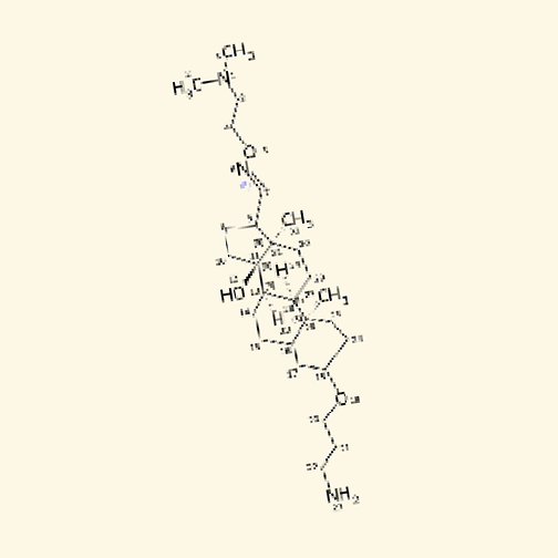 CN(C)CCO/N=C/C1CC[C@@]2(O)[C@@H]3CCC4CC(OCCCN)CC[C@]4(C)[C@@H]3CC[C@]12C